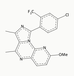 COc1ccc2nc(C)c3c(C)nc(-c4ccc(Cl)cc4C(F)(F)F)n3c2n1